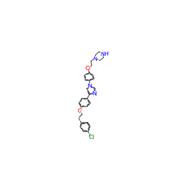 Clc1ccc(CCOc2ccc(-c3cn(-c4ccc(OCCN5CCNCC5)cc4)cn3)cc2)cc1